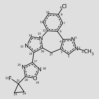 Cn1cc2c(n1)-c1cc(Cl)ccc1-n1cnc(-c3noc(C4(F)CC4)n3)c1C2